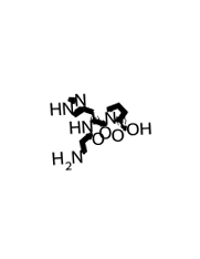 NCCC(=O)N[C@@H](Cc1c[nH]cn1)C(=O)N1CCC[C@H]1C(=O)O